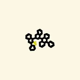 c1ccc(-c2c3ccccc3c(-c3cc(-c4c5ccccc5cc5c4sc4ccccc45)cc4ccccc34)c3ccccc23)cc1